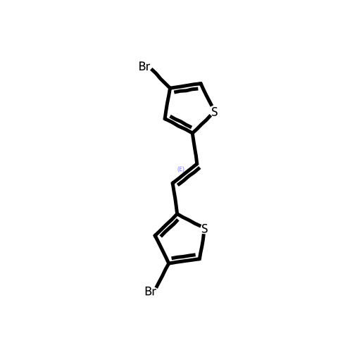 Brc1csc(/C=C/c2cc(Br)cs2)c1